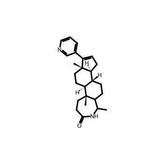 CC1NC(=O)CC[C@@]2(C)C1CC[C@@H]1[C@@H]2CC[C@]2(C)C(c3cccnc3)=CC[C@@H]12